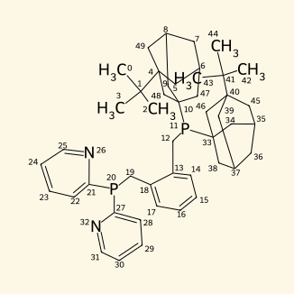 CC(C)(C)C12CC3CC(CC(P(Cc4ccccc4CP(c4ccccn4)c4ccccn4)C45CC6CC(C4)CC(C(C)(C)C)(C6)C5)(C3)C1)C2